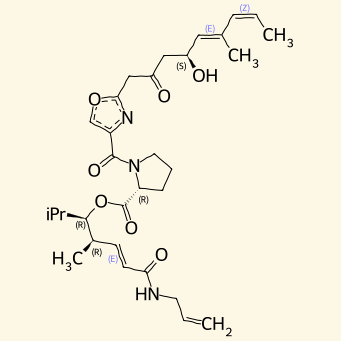 C=CCNC(=O)/C=C/[C@@H](C)[C@H](OC(=O)[C@H]1CCCN1C(=O)c1coc(CC(=O)C[C@H](O)/C=C(C)/C=C\C)n1)C(C)C